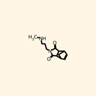 CNCCCN1C(=O)C2C3C=CC(C3)C2C1=O